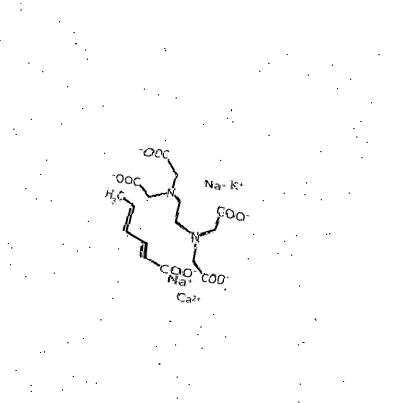 C/C=C/C=C/C(=O)[O-].O=C([O-])CN(CCN(CC(=O)[O-])CC(=O)[O-])CC(=O)[O-].[Ca+2].[K+].[Na+].[Na+]